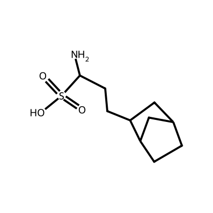 NC(CCC1CC2CCC1C2)S(=O)(=O)O